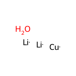 O.[Cu].[Li].[Li]